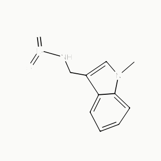 Cn1cc(CN[SH](=O)=O)c2ccccc21